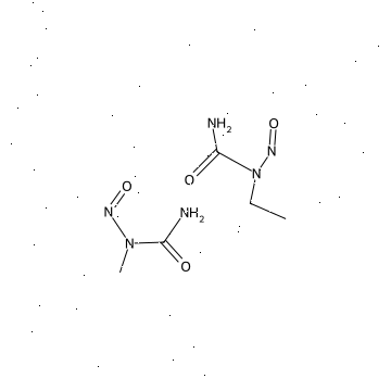 CCN(N=O)C(N)=O.CN(N=O)C(N)=O